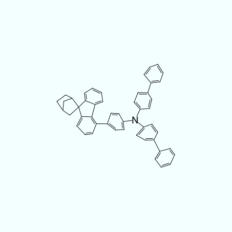 c1ccc(-c2ccc(N(c3ccc(-c4ccccc4)cc3)c3ccc(-c4cccc5c4-c4ccccc4C54CC5CCC4C5)cc3)cc2)cc1